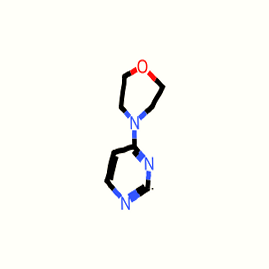 [c]1nccc(N2CCOCC2)n1